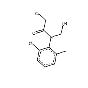 Cc1cccc(Cl)c1N(CC#N)C(=O)CCl